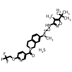 Cc1c(NOSN(C)c2ccc3c(c2)CN(C(=O)c2ccc(OCC(F)(F)F)nc2)CC3)noc1C(C)(C)C.S